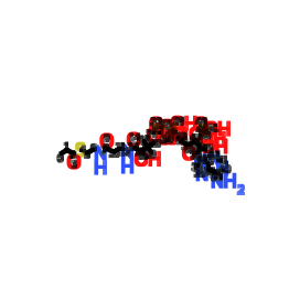 CCC(=O)SCCNC(=O)CCNC(=O)C(O)C(C)(C)COP(=O)(O)OP(=O)(O)OCC1OC(n2cnc3c(N)ncnc32)C(O)C1OP(=O)(O)O